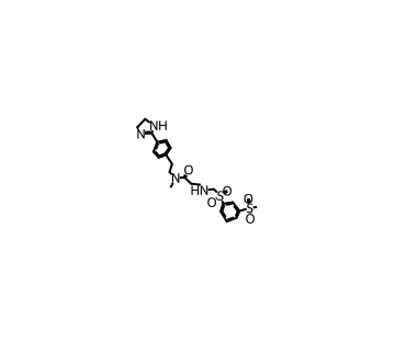 CN(CCc1ccc(C2=NCCN2)cc1)C(=O)CCNCS(=O)(=O)c1cccc(S(C)(=O)=O)c1